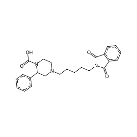 O=C1c2ccccc2C(=O)N1CCCCCN1CCN(C(=O)O)C(c2ccccc2)C1